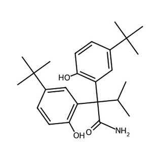 CC(C)C(C(N)=O)(c1cc(C(C)(C)C)ccc1O)c1cc(C(C)(C)C)ccc1O